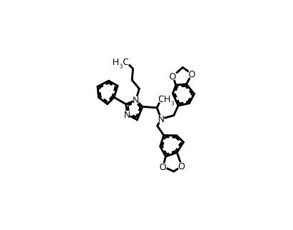 CCCCn1c(C(C)N(Cc2ccc3c(c2)OCO3)Cc2ccc3c(c2)OCO3)cnc1-c1ccccc1